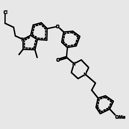 COc1ccc(CCN2CCN(C(=O)c3cccc(Oc4ccc5c(c4)c(C)c(C)n5CCCCl)c3)CC2)cc1